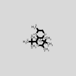 CC1CSCC(C(SC(C)C(C)(C)C)C(C)(C)C)S1